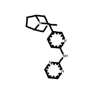 CN1CC2CCC(C1)N2Cc1ccc(Nc2ncccn2)nc1